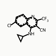 N#Cc1c(C(F)(F)F)nc2ccc(Cl)cc2c1NC1CC1